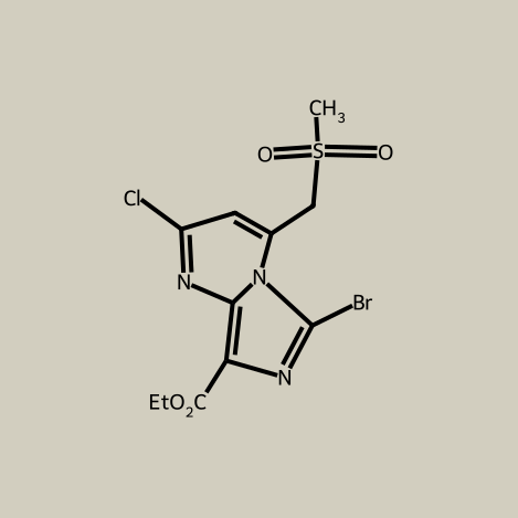 CCOC(=O)c1nc(Br)n2c(CS(C)(=O)=O)cc(Cl)nc12